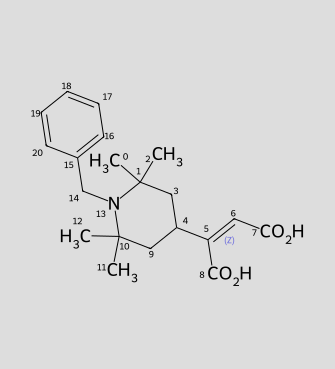 CC1(C)CC(/C(=C/C(=O)O)C(=O)O)CC(C)(C)N1Cc1ccccc1